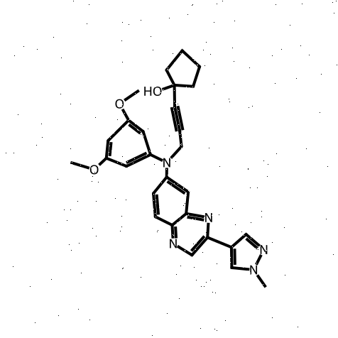 COc1cc(OC)cc(N(CC#CC2(O)CCCC2)c2ccc3ncc(-c4cnn(C)c4)nc3c2)c1